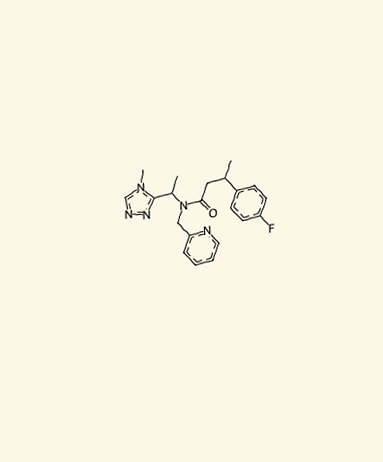 CC(CC(=O)N(Cc1ccccn1)C(C)c1nncn1C)c1ccc(F)cc1